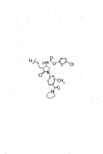 C=CCC1C(=O)N(c2ccc(C(=O)N3CCCC3)c(C)c2)CC1NC(=O)Oc1ccc(Cl)s1